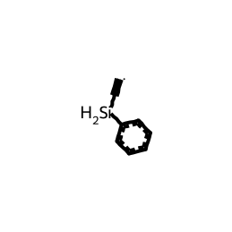 [C]#C[SiH2]c1ccccc1